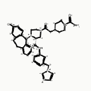 NC(=O)N1CCC(CC(=O)N2CCN([C@@H]3c4ccc(Cl)cc4CCc4cccnc43)[C@@H](C(=O)Nc3cccc(Cn4ccnc4)c3)C2)CC1